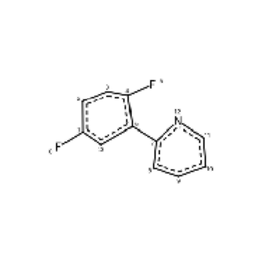 Fc1ccc(F)c(-c2ccccn2)c1